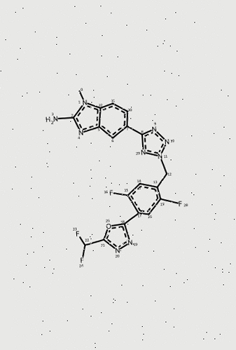 Cn1c(N)nc2cc(-c3nnn(Cc4cc(F)c(-c5nnc(C(F)F)o5)cc4F)n3)ccc21